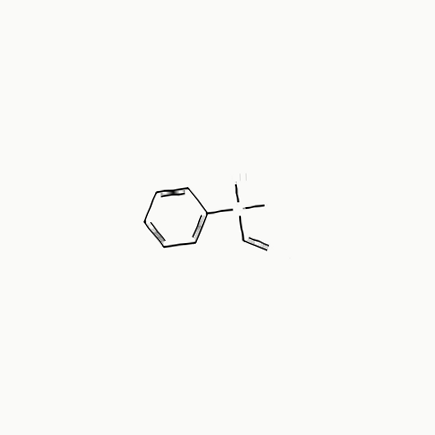 C=C[Si](C)([O])c1ccccc1